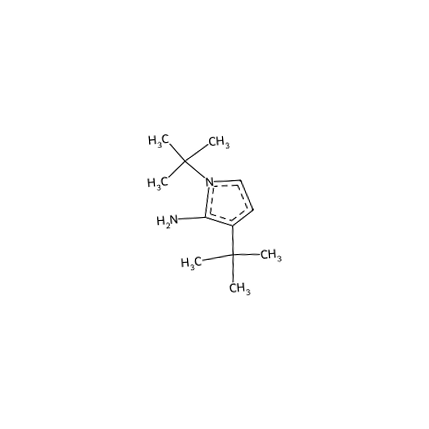 CC(C)(C)c1ccn(C(C)(C)C)c1N